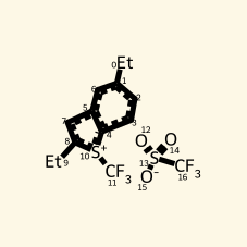 CCc1ccc2c(c1)cc(CC)[s+]2C(F)(F)F.O=S(=O)([O-])C(F)(F)F